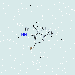 CC(C)NC1=C(Br)C=C(C#N)C1(C)C